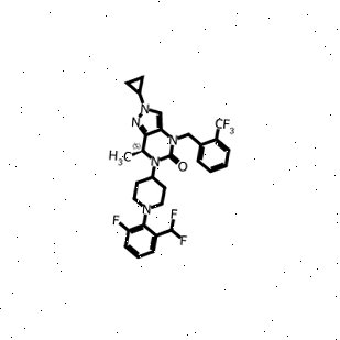 C[C@H]1c2nn(C3CC3)cc2N(Cc2ccccc2C(F)(F)F)C(=O)N1C1CCN(c2c(F)cccc2C(F)F)CC1